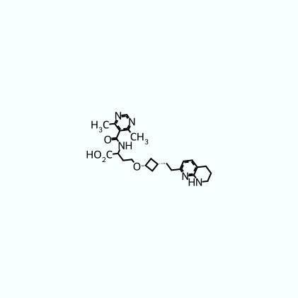 Cc1ncnc(C)c1C(=O)NC(CCO[C@H]1C[C@@H](CCc2ccc3c(n2)NCCC3)C1)C(=O)O